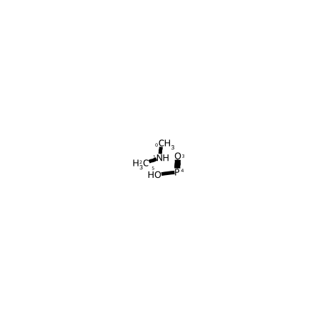 CNC.O=PO